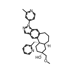 COC[C@@]1(O)CC[C@@]2(Cc3ccccn3)c3cc4cnn(-c5ccnc(C)c5)c4cc3CCC[C@H]2C1